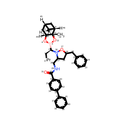 CC(C)C[C@@H](B1O[C@@H]2C[C@@H]3C[C@@H](C3(C)C)[C@]2(C)O1)N1OC(Cc2ccccc2)CC1CNC(=O)c1ccc(-c2ccccc2)cc1